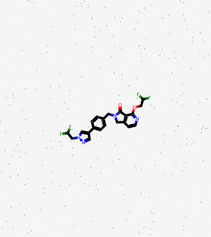 O=C1c2c(ccnc2OCC(F)F)CN1Cc1ccc(-c2cnn(CC(F)F)c2)cc1